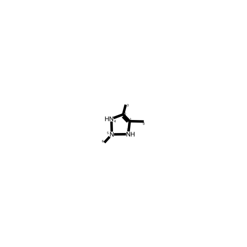 CC1=C(C)NN(C)N1